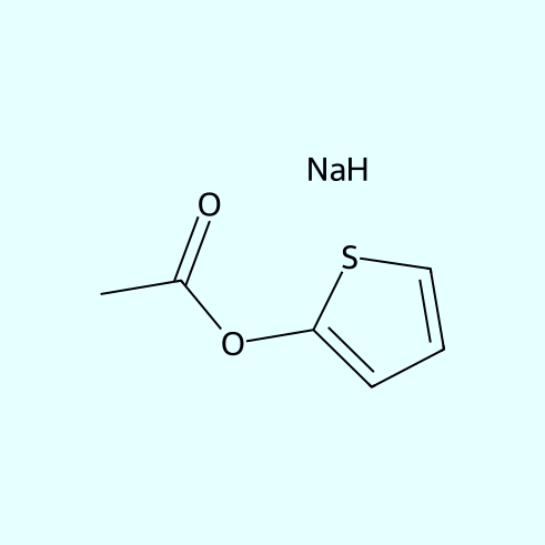 CC(=O)Oc1cccs1.[NaH]